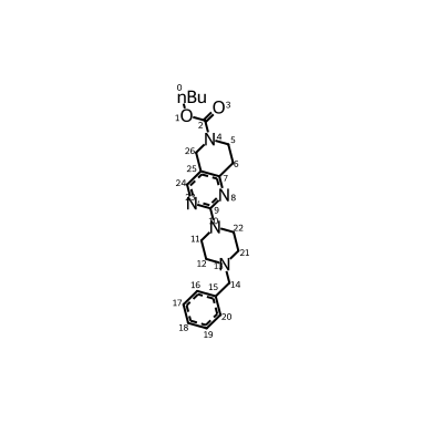 CCCCOC(=O)N1CCc2nc(N3CCN(Cc4ccccc4)CC3)ncc2C1